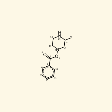 CC1CN(OC(=O)c2ccccc2)CCN1